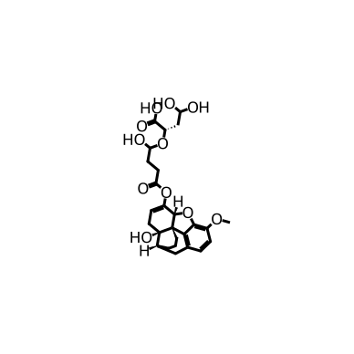 COc1ccc2c3c1O[C@H]1C(OC(=O)CCC(O)O[C@@H](CC(O)O)C(=O)O)=CC[C@@]4(O)[C@H](CCC[C@]314)C2